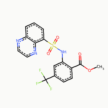 COC(=O)c1ccc(C(F)(F)F)cc1NS(=O)(=O)c1cccc2nccnc12